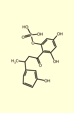 CC(CC(=O)c1c(O)cc(O)cc1OP(=O)(O)O)c1cccc(O)c1